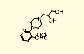 Cl.Cl.OCC(O)CN1CCN(c2ncccc2O)CC1